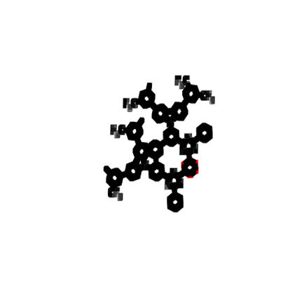 Cc1cc(-c2ccc3c(c2)c2cc(-c4cc(C(F)(F)F)cc(C(F)(F)F)c4)ccc2n3-c2cc(-c3cccc(-c4cc(-c5nc(-c6ccccc6)nc(-c6ccccc6)n5)ccc4-n4c5ccc(-c6cc(C)cc(C(F)(F)F)c6)cc5c5cc(-c6cc(C)cc(C(F)(F)F)c6)ccc54)c3)cc(-c3nc(-c4ccccc4)nc(-c4ccccc4)n3)c2)cc(C(F)(F)F)c1